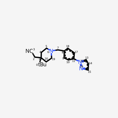 CC(C)(C)C1(CC#N)CCN(Cc2ccc(-n3cccn3)cc2)CC1